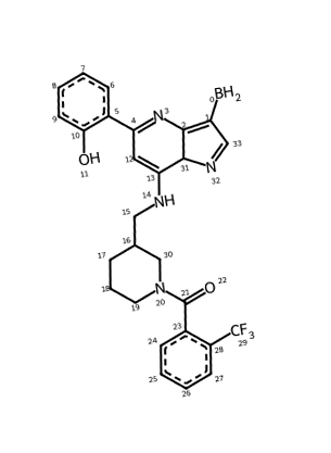 BC1=C2N=C(c3ccccc3O)C=C(NCC3CCCN(C(=O)c4ccccc4C(F)(F)F)C3)C2N=C1